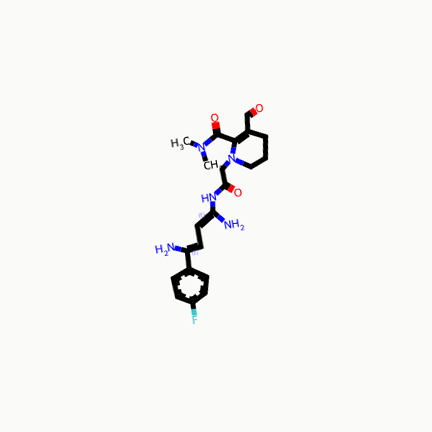 CN(C)C(=O)C1=C(C=O)CCCN1CC(=O)N/C(N)=C/C=C(\N)c1ccc(F)cc1